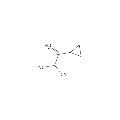 C=C(C(C#N)C#N)C1CC1